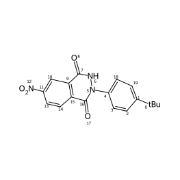 CC(C)(C)c1ccc(-n2[nH]c(=O)c3cc([N+](=O)[O-])ccc3c2=O)cc1